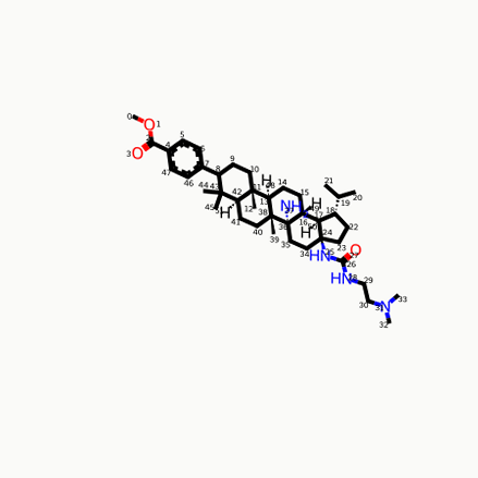 COC(=O)c1ccc(C2CC[C@]3(C)[C@H]4CC[C@@H]5[C@H]6[C@H](C(C)C)CC[C@]6(NC(=O)NCCN(C)C)CC[C@@]5(N)[C@]4(C)CC[C@H]3C2(C)C)cc1